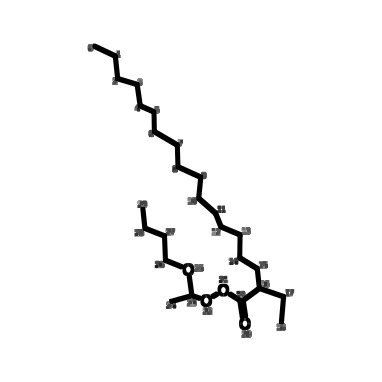 CCCCCCCCCCCCCCCCC(CC)C(=O)OOC(C)OCCCC